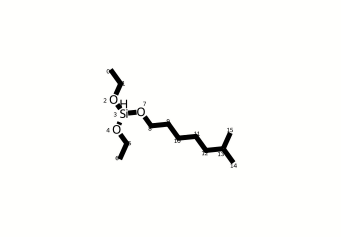 CCO[SiH](OCC)OCCCCCC(C)C